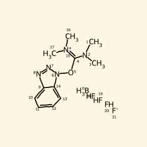 B.CN(C)C(On1nnc2ccccc21)=[N+](C)C.F.F.F.[F-]